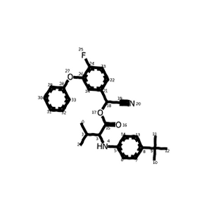 CC(C)C(Nc1ccc(C(C)(C)C)cc1)C(=O)OC(C#N)c1ccc(F)c(Oc2ccccc2)c1